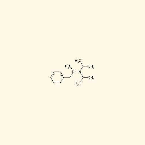 CC(C)N(C(C)C)N(C)Cc1ccccc1